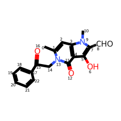 Cc1cc2c(c(O)c(C=O)n2C)c(=O)n1CC(=O)c1ccccc1